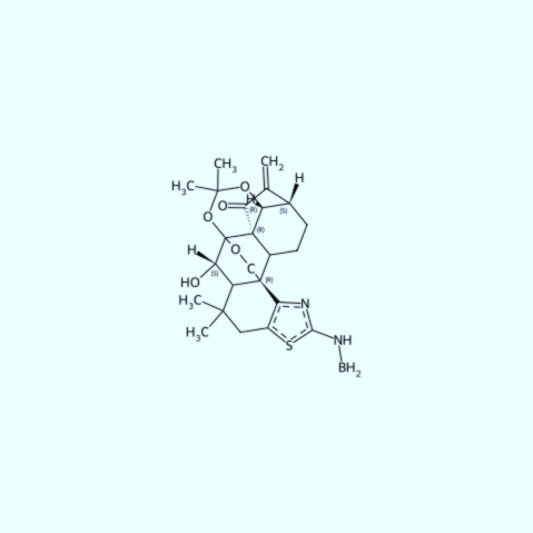 BNc1nc2c(s1)CC(C)(C)C1[C@H](O)C34OC[C@@]21C1CC[C@H]2C(=C)C(=O)[C@]13[C@@H]2OC(C)(C)O4